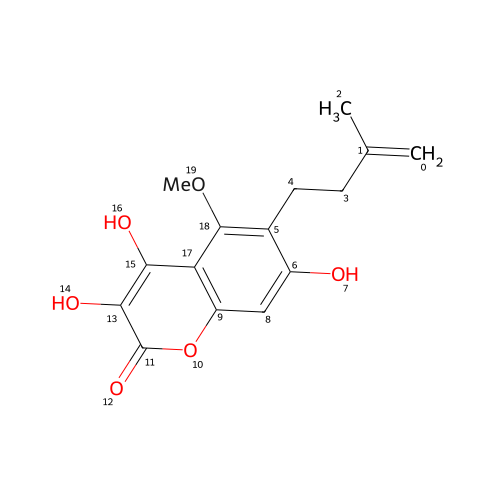 C=C(C)CCc1c(O)cc2oc(=O)c(O)c(O)c2c1OC